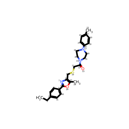 CCc1ccc(-c2nc(CSCC(=O)N3CCN(c4ccc(C)cc4)CC3)c(C)o2)cc1